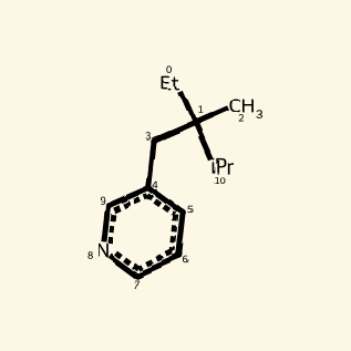 CCC(C)(Cc1cccnc1)C(C)C